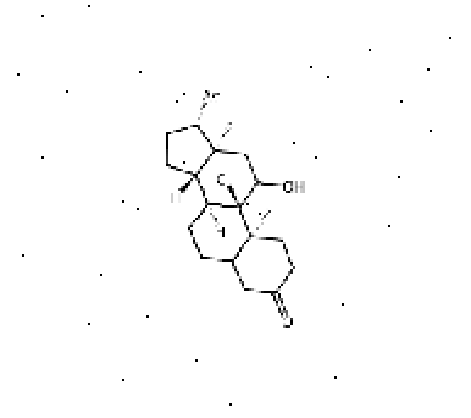 CC(=O)[C@H]1CC[C@H]2[C@@H]3CCC4CC(=O)CC[C@]4(C)[C@@]3(Cl)C(O)C[C@]12C